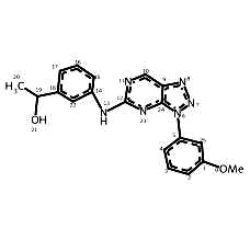 COc1cccc(-n2nnc3cnc(Nc4cccc(C(C)O)c4)nc32)c1